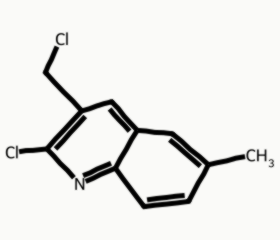 Cc1ccc2nc(Cl)c(CCl)cc2c1